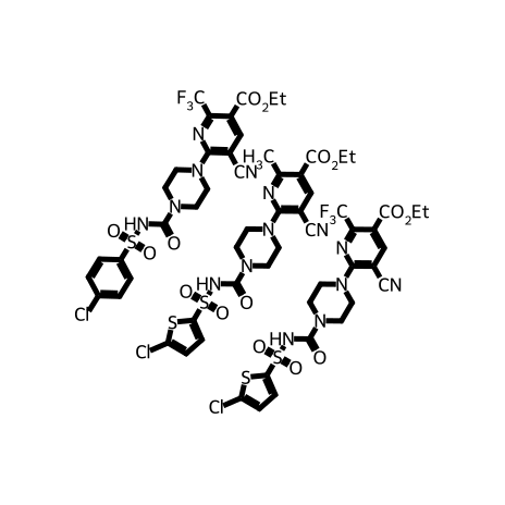 CCOC(=O)c1cc(C#N)c(N2CCN(C(=O)NS(=O)(=O)c3ccc(Cl)cc3)CC2)nc1C(F)(F)F.CCOC(=O)c1cc(C#N)c(N2CCN(C(=O)NS(=O)(=O)c3ccc(Cl)s3)CC2)nc1C.CCOC(=O)c1cc(C#N)c(N2CCN(C(=O)NS(=O)(=O)c3ccc(Cl)s3)CC2)nc1C(F)(F)F